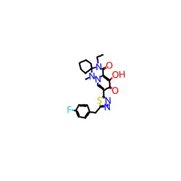 CCN1C(=O)c2c(O)c(=O)c(-c3nnc(Cc4ccc(F)cc4)s3)cn2N(C)C12CCCCC2